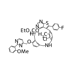 CCOC(=O)[C@H]1Cc2cc(ccc2OCc2ccnc(-c3ccccc3OC)n2)CNCc2ccc(c(C)c2Cl)-c2c(-c3ccc(F)cc3)sc3ncnc(c23)O1